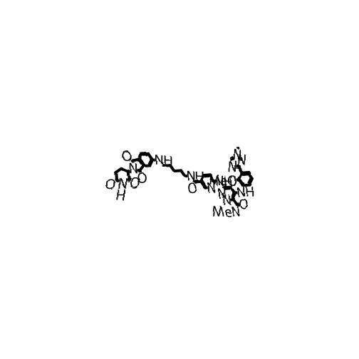 CNC(=O)c1nnc(Nc2ccc(C(=O)NCCCCCNc3ccc4c(c3)C(=O)N(C3CCC(=O)NC3=O)C4=O)cn2)cc1Nc1cccc(-c2ncn(C)n2)c1OC